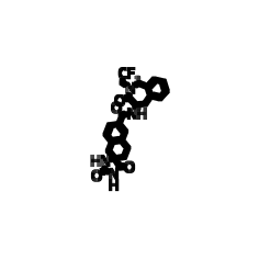 O=C1NC(=O)C2(CCc3cc(C(=O)N[C@@H]4Cc5ccccc5CN(CC(F)(F)F)C4=O)ccc3C2)N1